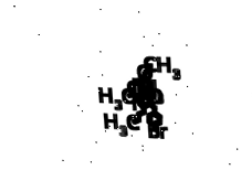 CCCCc1nc(C(C)C)n(-c2ncc(OCC)cn2)c(=O)c1Cc1ccc(Br)cc1